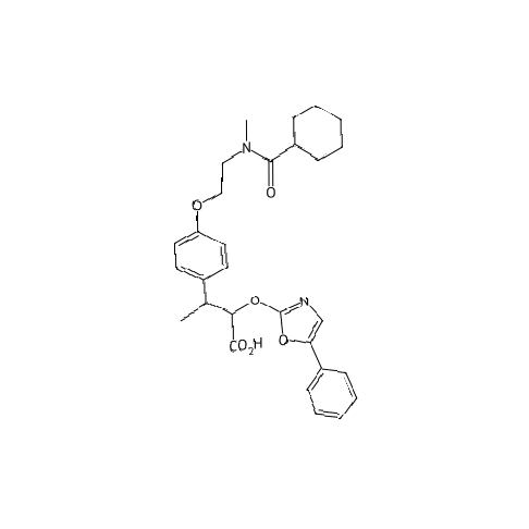 CC(c1ccc(OCCN(C)C(=O)C2CCCCC2)cc1)C(Oc1ncc(-c2ccccc2)o1)C(=O)O